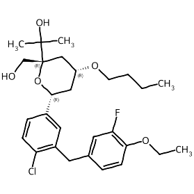 CCCCO[C@@H]1C[C@H](c2ccc(Cl)c(Cc3ccc(OCC)c(F)c3)c2)O[C@](CO)(C(C)(C)O)C1